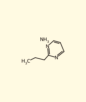 CCCc1ncccn1.N